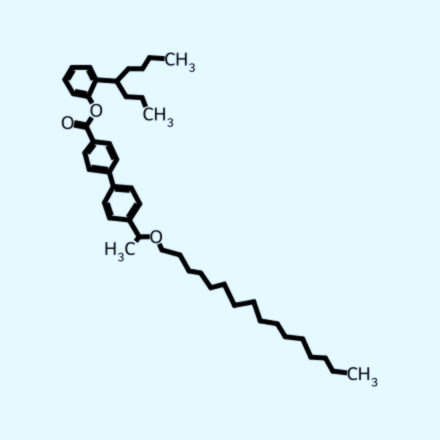 CCCCCCCCCCCCCCCCOC(C)c1ccc(-c2ccc(C(=O)Oc3ccccc3C(CCC)CCCC)cc2)cc1